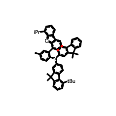 Cc1ccc(N(c2ccc3c(c2)C(C)(C)c2ccccc2-3)c2ccc3c(c2)C(C)(C)c2cccc(C(C)(C)C)c2-3)c(-c2cccc3c2oc2c(C(C)C)cccc23)c1